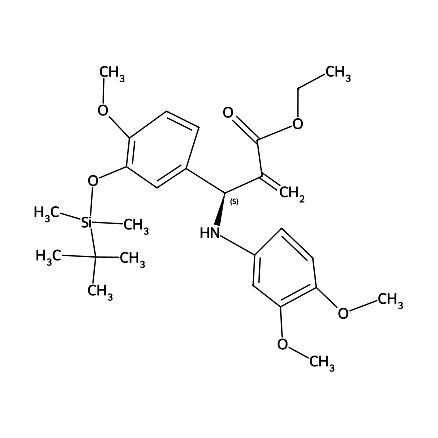 C=C(C(=O)OCC)[C@@H](Nc1ccc(OC)c(OC)c1)c1ccc(OC)c(O[Si](C)(C)C(C)(C)C)c1